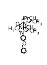 CC(C)=CCN[C@@H](CC(C)C)C(=O)N[C@@H](C)CN(CC=C(C)C)c1ccc(OCc2ccccc2)cc1